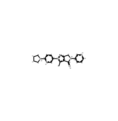 Cc1c2c(nn1-c1ccc(N3CCCC3)nc1)CN(c1cccnc1)C2=O